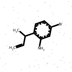 C=CC(C)c1ccc(Br)cc1N